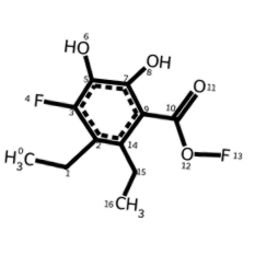 CCc1c(F)c(O)c(O)c(C(=O)OF)c1CC